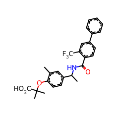 Cc1cc(C(C)NC(=O)c2ccc(-c3ccccc3)cc2C(F)(F)F)ccc1OC(C)(C)C(=O)O